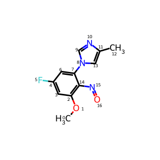 COc1cc(F)cc(-n2cnc(C)c2)c1N=O